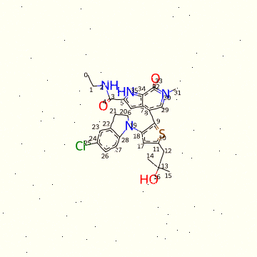 CCNC(=O)c1cc2c(-c3sc(CC(C)(C)O)cc3N3CCc4cc(Cl)ccc43)cn(C)c(=O)c2[nH]1